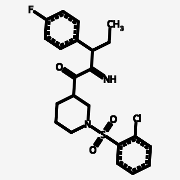 CCC(C(=N)C(=O)C1CCCN(S(=O)(=O)c2ccccc2Cl)C1)c1ccc(F)cc1